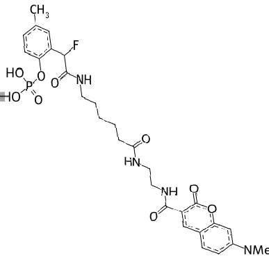 CNc1ccc2cc(C(=O)NCCNC(=O)CCCCCNC(=O)C(F)c3cc(C)ccc3OP(=O)(O)O)c(=O)oc2c1